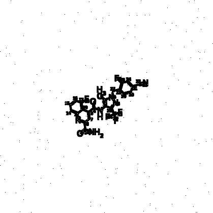 Cc1c(NC(=O)c2cc(C(N)=O)nc3cccc(F)c23)c(C(F)(F)F)nn1Cc1ccc(C#N)cc1F